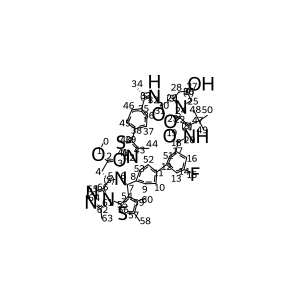 COC(=O)C[C@@H]1N=C(c2ccc(-c3cc(F)cc(C(=O)N[C@H](C(=O)N4C[C@H](O)C[C@H]4C(=O)N[C@@H](C)c4ccc(-c5scnc5C)cc4)C(C)(C)C)c3)cc2)c2c(sc(C)c2C)-n2c(C)nnc21